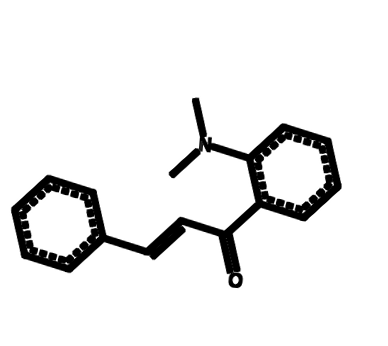 CN(C)c1ccccc1C(=O)C=Cc1ccccc1